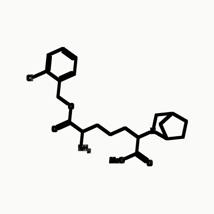 COC(=O)C(CCCC(N)C(=O)OCc1ccccc1Cl)N1CC2CCC1C2